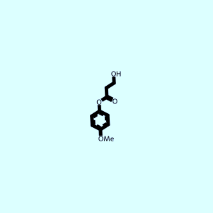 COc1ccc(OC(=O)CCO)cc1